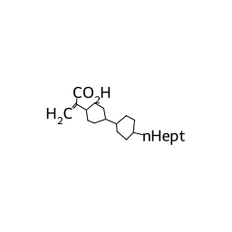 C=C(C(=O)O)C1CCC(C2CCC(CCCCCCC)CC2)CC1